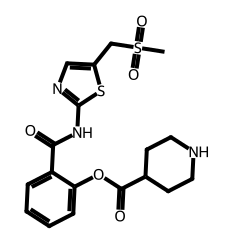 CS(=O)(=O)Cc1cnc(NC(=O)c2ccccc2OC(=O)C2CCNCC2)s1